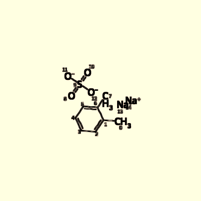 Cc1ccccc1C.O=S(=O)([O-])[O-].[Na+].[Na+]